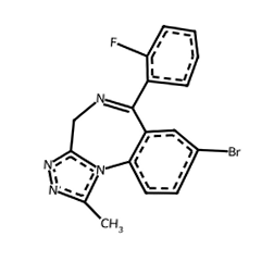 Cc1nnc2n1-c1ccc(Br)cc1C(c1ccccc1F)=NC2